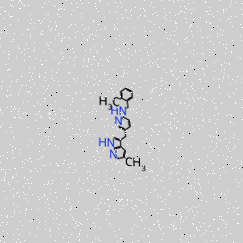 Cc1cnc2[nH]cc(Cc3ccc(NCc4ccccc4C)nc3)c2c1